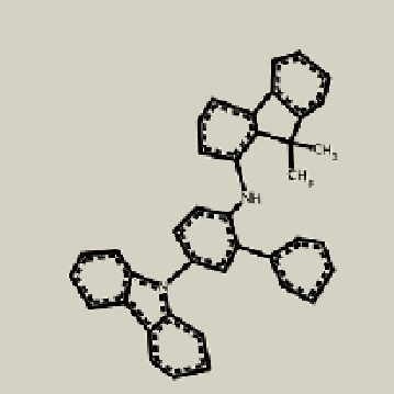 CC1(C)c2ccccc2-c2cccc(Nc3ccc(-n4c5ccccc5c5ccccc54)cc3-c3ccccc3)c21